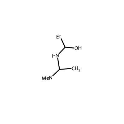 CCC(O)NC(C)NC